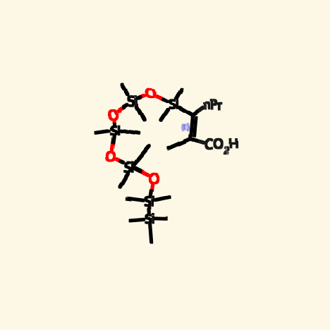 CCC/C(=C(/C)C(=O)O)[Si](C)(C)O[Si](C)(C)O[Si](C)(C)O[Si](C)(C)O[Si](C)(C)[Si](C)(C)C